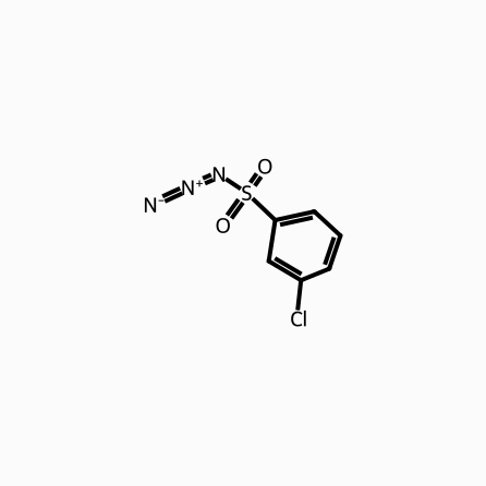 [N-]=[N+]=NS(=O)(=O)c1cccc(Cl)c1